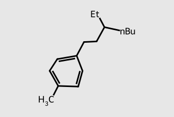 CCCCC(CC)CCc1ccc(C)cc1